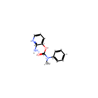 CC(C)(C)N(C(=O)Oc1cccnc1N)c1ccccc1